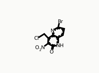 O=c1[nH]c2ccc(Br)nc2c(CCl)c1[N+](=O)[O-]